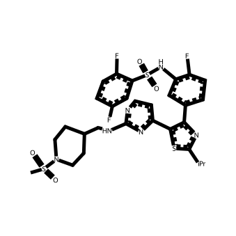 CC(C)c1nc(-c2ccc(F)c(NS(=O)(=O)c3cc(F)ccc3F)c2)c(-c2ccnc(NCC3CCN(S(C)(=O)=O)CC3)n2)s1